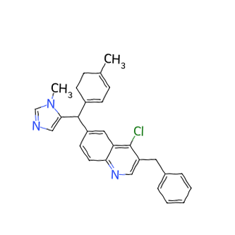 CC1=CC=C(C(c2ccc3ncc(Cc4ccccc4)c(Cl)c3c2)c2cncn2C)CC1